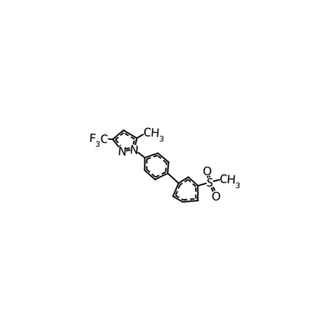 Cc1cc(C(F)(F)F)nn1-c1ccc(-c2cccc(S(C)(=O)=O)c2)cc1